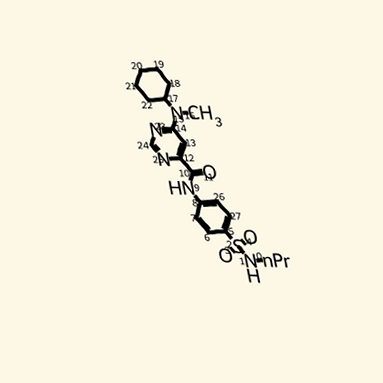 CCCNS(=O)(=O)c1ccc(NC(=O)c2cc(N(C)C3CCCCC3)ncn2)cc1